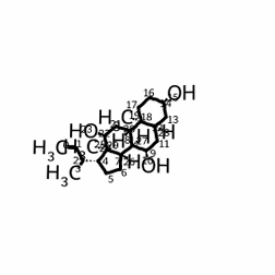 CCC(C)[C@H]1CC[C@H]2[C@@H]3[C@H](O)C[C@@H]4C[C@H](O)CC[C@]4(C)[C@H]3C[C@H](O)[C@]12C